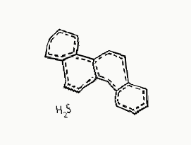 S.c1ccc2c(c1)ccc1c3ccccc3ccc21